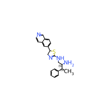 C[C@@H](c1ccccc1)[C@H](N)CNC1=NCC(c2ccc3cnccc3c2)S1